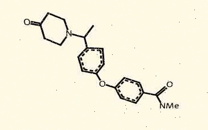 CNC(=O)c1ccc(Oc2ccc(C(C)N3CCC(=O)CC3)cc2)cc1